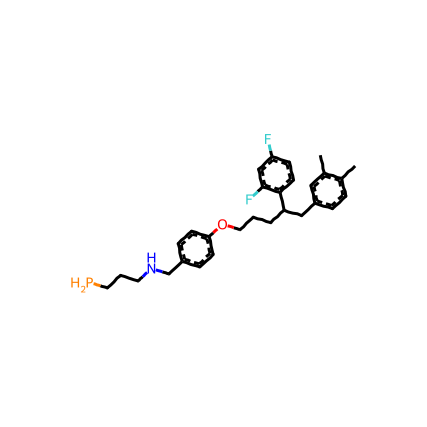 Cc1ccc(CC(CCCOc2ccc(CNCCCP)cc2)c2ccc(F)cc2F)cc1C